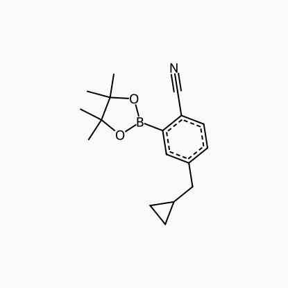 CC1(C)OB(c2cc(CC3CC3)ccc2C#N)OC1(C)C